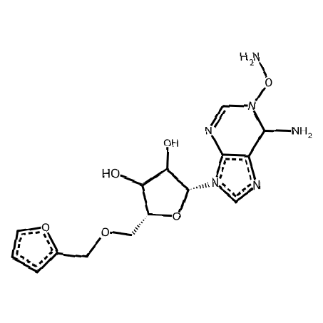 NON1C=Nc2c(ncn2[C@@H]2O[C@H](COCc3ccco3)C(O)C2O)C1N